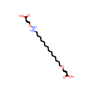 O=C(O)C=COCCCCCCCCCCCCCCNNOC=CC(=O)O